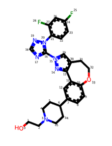 OCCN1CCC(c2ccc3c(c2)-c2nn(-c4ncnn4-c4ccc(F)cc4F)cc2CCO3)CC1